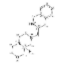 c1ccc2c(c1)CN[C@H](CN1CCN3CCOC[C@@H]3C1)C2